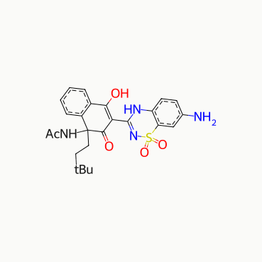 CC(=O)NC1(CCC(C)(C)C)C(=O)C(C2=NS(=O)(=O)c3cc(N)ccc3N2)=C(O)c2ccccc21